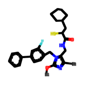 CCOc1nc(CC)c(CNC(=O)C(S)CC2CCCCC2)n1Cc1ccc(-c2ccccc2)cc1F